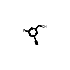 C#Cc1cc(F)cc([CH]O)c1